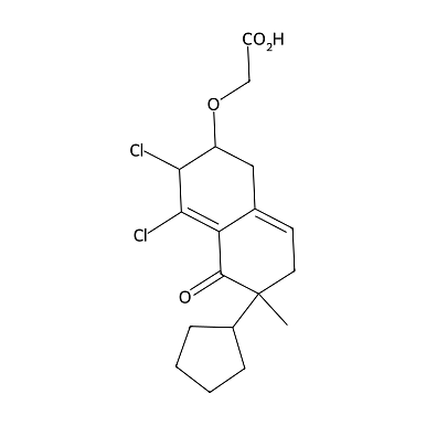 CC1(C2CCCC2)CC=C2CC(OCC(=O)O)C(Cl)C(Cl)=C2C1=O